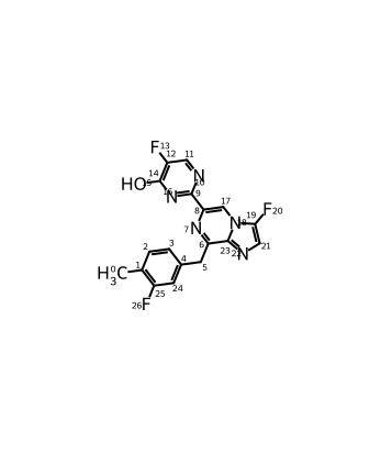 Cc1ccc(Cc2nc(-c3ncc(F)c(O)n3)cn3c(F)cnc23)cc1F